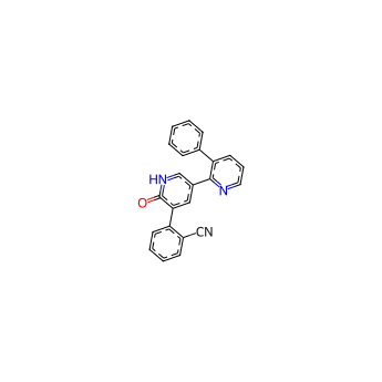 N#Cc1ccccc1-c1cc(-c2ncccc2-c2ccccc2)c[nH]c1=O